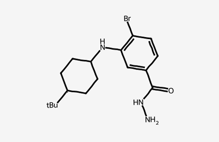 CC(C)(C)[C]1CCC(Nc2cc(C(=O)NN)ccc2Br)CC1